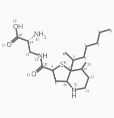 CCCCCC(C)C12SC(C(=O)NC[C@@H](N)C(=O)O)CC1NCCC2C